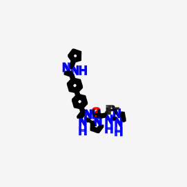 CC(C)[C@H](NC1=NCCN1)C(=O)N1CCC[C@H]1C1NC=C(c2ccc(-c3ccc(-c4cnc(C5CCCC5)[nH]4)cc3)cc2)N1